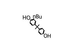 CCCCc1cc(C(C)(C)c2ccc(O)cc2)ccc1O